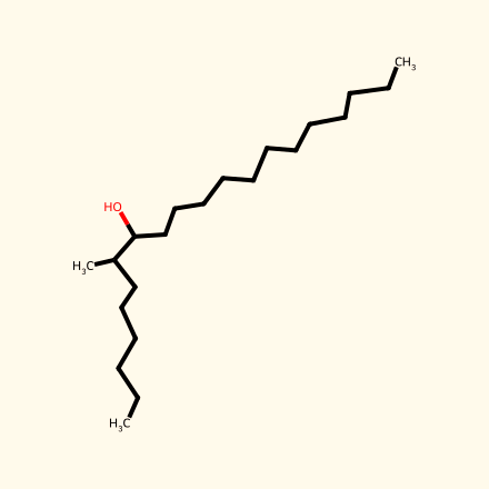 CCCCCCCCCCCCC(O)C(C)CCCCCC